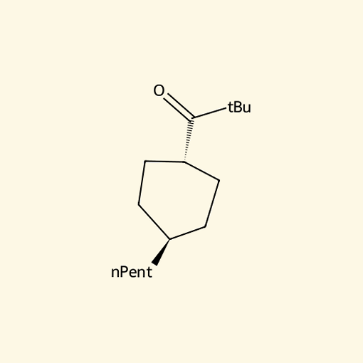 CCCCC[C@H]1CC[C@H](C(=O)C(C)(C)C)CC1